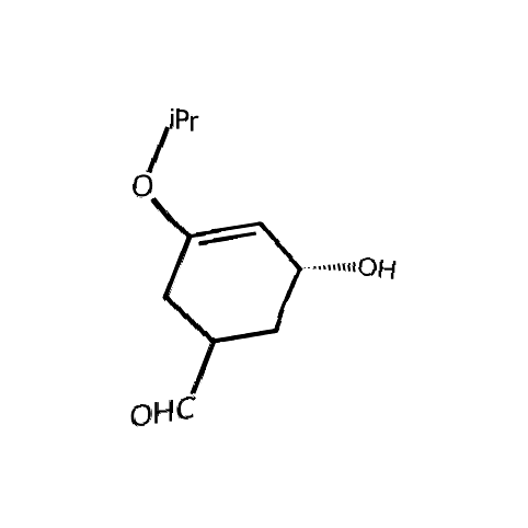 CC(C)OC1=C[C@H](O)CC(C=O)C1